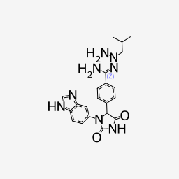 CC(C)CN(N)/N=C(\N)c1ccc(C2C(=O)NC(=O)N2c2ccc3[nH]cnc3c2)cc1